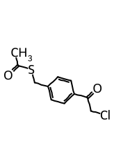 CC(=O)SCc1ccc(C(=O)CCl)cc1